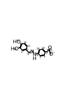 O=[N+]([O-])c1ccc(N/N=C/c2ccc(O)c(O)c2)cc1